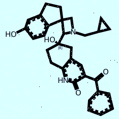 O=C(c1ccccc1)c1cc2c([nH]c1=O)CC[C@](O)(C1N(CC3CC3)CC13CCc1cc(O)ccc13)C2